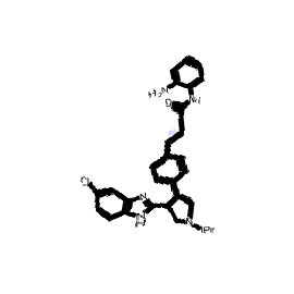 CC(C)N1CC(c2ccc(/C=C/C(=O)Nc3ccccc3N)cc2)C(c2nc3cc(Cl)ccc3[nH]2)C1